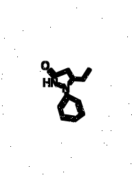 CCC1CC(=O)NN1c1ccccc1